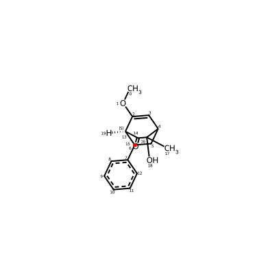 COC1=CC2CC(c3ccccc3)[C@@H]1C(=O)C2(C)O